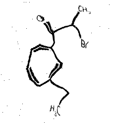 CCc1cccc(C(=O)C(C)Br)c1